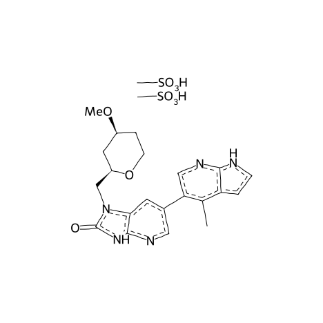 CO[C@H]1CCO[C@@H](Cn2c(=O)[nH]c3ncc(-c4cnc5[nH]ccc5c4C)cc32)C1.CS(=O)(=O)O.CS(=O)(=O)O